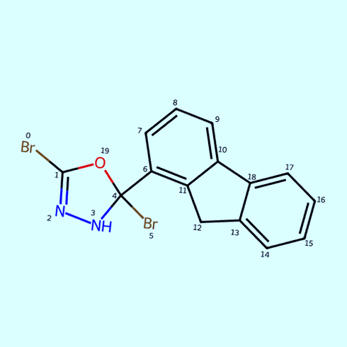 BrC1=NNC(Br)(c2cccc3c2Cc2ccccc2-3)O1